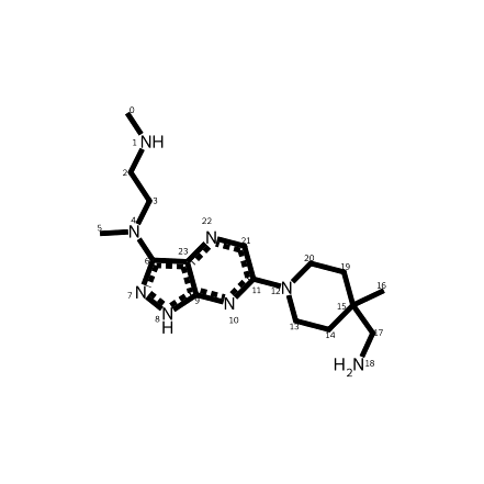 CNCCN(C)c1n[nH]c2nc(N3CCC(C)(CN)CC3)cnc12